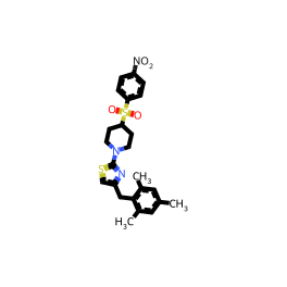 Cc1cc(C)c(Cc2csc(N3CCC(S(=O)(=O)c4ccc([N+](=O)[O-])cc4)CC3)n2)c(C)c1